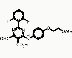 CCOC(=O)c1c(C=O)nc(-c2c(F)cccc2F)nc1Nc1ccc(OCCOC)cc1